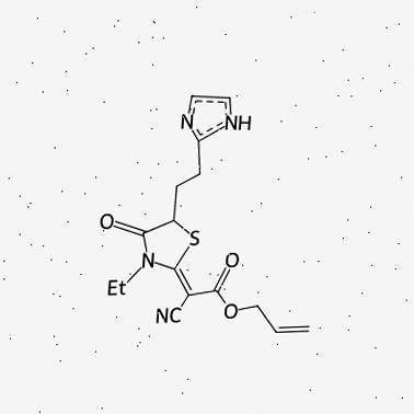 C=CCOC(=O)/C(C#N)=C1\SC(CCc2ncc[nH]2)C(=O)N1CC